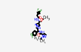 CCOC[C@H](NC(=O)CC1CC(F)(F)C1)c1cnn2cc([C@@H](NC(=O)c3ccnn3C(C)C)C3CCC(F)(F)CC3)nc2c1